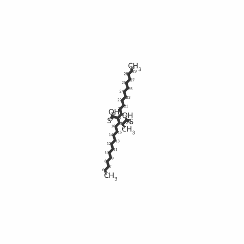 CCC(O)=S.CCCCCCCCCCCCCC(CCCCCCCCCCCC)C(O)=S